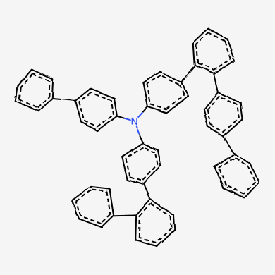 c1ccc(-c2ccc(-c3ccccc3-c3ccc(N(c4ccc(-c5ccccc5)cc4)c4ccc(-c5ccccc5-c5ccccc5)cc4)cc3)cc2)cc1